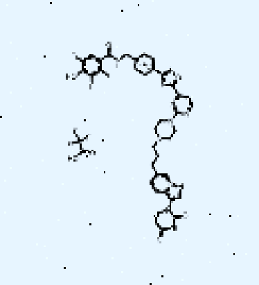 O=C(O)C(F)(F)F.O=C1CCN(c2cnn3cc(CCCN4CCN(c5nccc(-c6nc(C78CCC(CNC(=O)c9cc(F)c(O)c(F)c9F)(CC7)CC8)no6)n5)CC4)ccc23)C(=O)N1